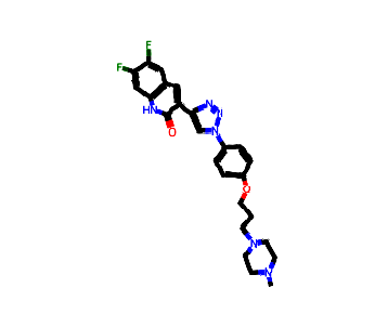 CN1CCN(CCCOc2ccc(-n3cc(-c4cc5cc(F)c(F)cc5[nH]c4=O)nn3)cc2)CC1